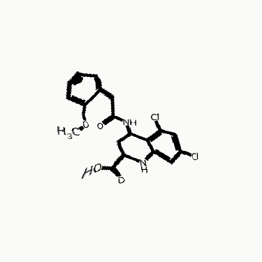 COc1ccccc1CC(=O)NC1CC(C(=O)O)Nc2cc(Cl)cc(Cl)c21